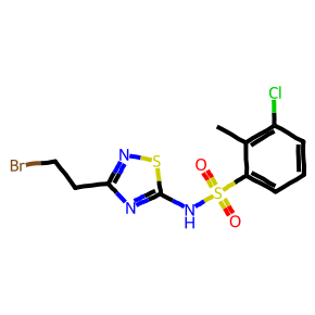 Cc1c(Cl)cccc1S(=O)(=O)Nc1nc(CCBr)ns1